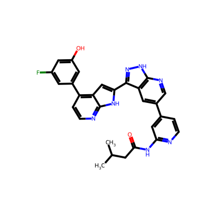 CC(C)CC(=O)Nc1cc(-c2cnc3[nH]nc(-c4cc5c(-c6cc(O)cc(F)c6)ccnc5[nH]4)c3c2)ccn1